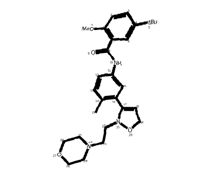 COc1ccc(C(C)(C)C)cc1C(=O)Nc1ccc(C)c(C2=CCON2CCN2CCOCC2)c1